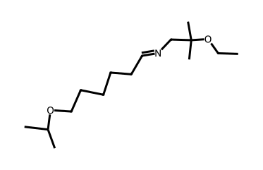 CCOC(C)(C)C/N=C/CCCCCOC(C)C